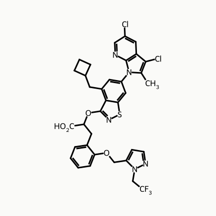 Cc1c(Cl)c2cc(Cl)cnc2n1-c1cc(CC2CCC2)c2c(OC(Cc3ccccc3OCc3ccnn3CC(F)(F)F)C(=O)O)nsc2c1